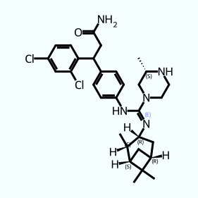 C[C@@H]1[C@H](/N=C(\Nc2ccc(C(CC(N)=O)c3ccc(Cl)cc3Cl)cc2)N2CCN[C@@H](C)C2)C[C@H]2C[C@@H]1C2(C)C